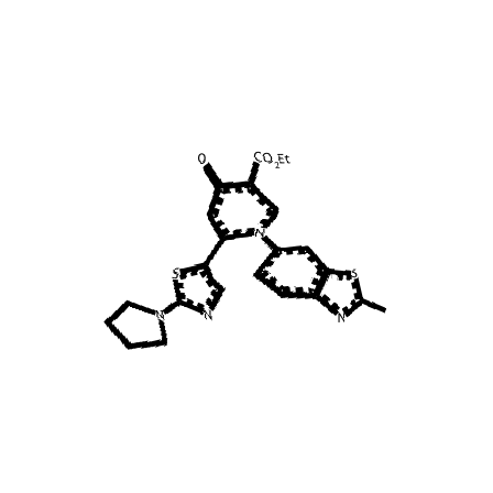 CCOC(=O)c1cn(-c2ccc3nc(C)sc3c2)c(-c2cnc(N3CCCC3)s2)cc1=O